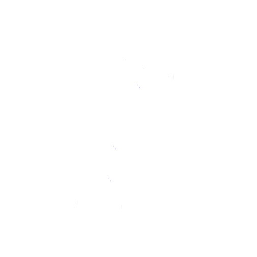 CC(C)C(=O)N1CC(CCN2CCN(C(C)C)CC2)C1